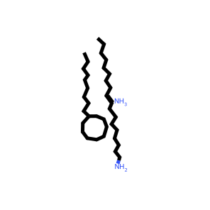 CCCCCCCCC=CCCCCCCCCN.CCCCCCCCCC1CCCCCCCC1.N